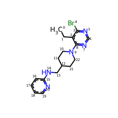 CCc1c(Br)ncnc1N1CCC(CNc2ccccn2)CC1